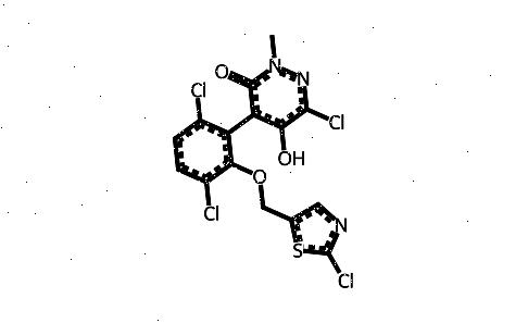 Cn1nc(Cl)c(O)c(-c2c(Cl)ccc(Cl)c2OCc2cnc(Cl)s2)c1=O